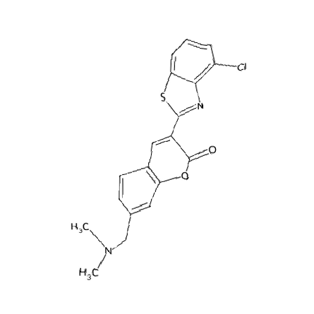 CN(C)Cc1ccc2cc(-c3nc4c(Cl)cccc4s3)c(=O)oc2c1